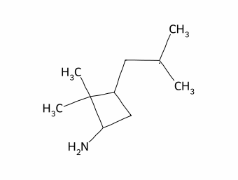 C[C](C)CC1CC(N)C1(C)C